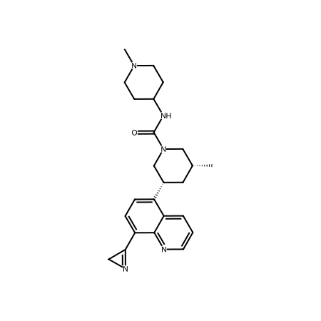 C[C@@H]1C[C@H](c2ccc(C3=NC3)c3ncccc23)CN(C(=O)NC2CCN(C)CC2)C1